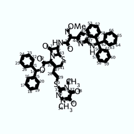 CON=C(C(=O)NC1C(=O)N2C(C(=O)OC(c3ccccc3)c3ccccc3)=C(C=CSc3nn(C)c(=O)c(=O)n3C)CSC12)c1csc(NC(c2ccccc2)(c2ccccc2)c2ccccc2)n1